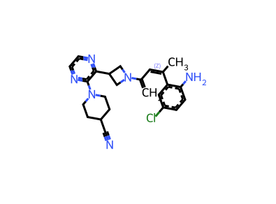 C=C(/C=C(/C)c1cc(Cl)ccc1N)N1CC(c2nccnc2N2CCC(C#N)CC2)C1